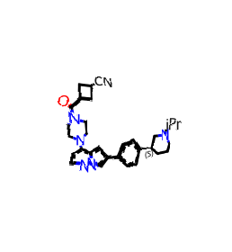 CC(C)N1CCC[C@@H](c2ccc(-c3cc4c(N5CCN(C(=O)C6CC(C#N)C6)CC5)ccnn4c3)cc2)C1